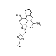 Cc1nn(Cc2nc(C3CC3)no2)c(C)c1-c1c(C(N)=O)nc2ccccc2c1C(N)=O